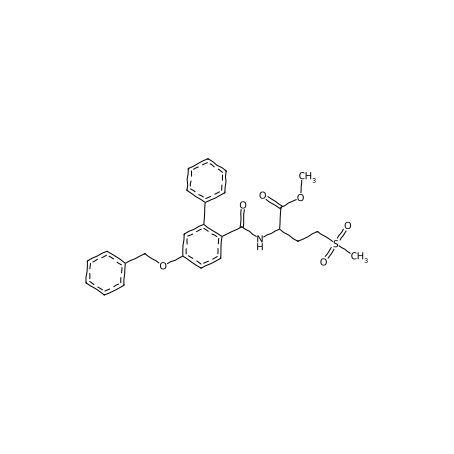 COC(=O)C(CCS(C)(=O)=O)NC(=O)c1ccc(OCc2ccccc2)cc1-c1ccccc1